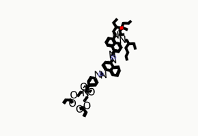 C=CC(=O)OCCN(CCOC(=O)C=C)S(=O)(=O)c1ccc(/N=N/c2ccc(/N=N/c3ccc4c5c(cccc35)N(CC(CC)CCCC)C(C)(CCC)N4CC(CC)CCCC)c3ccccc23)cc1